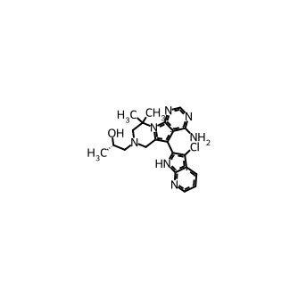 C[C@H](O)CN1Cc2c(-c3[nH]c4ncccc4c3Cl)c3c(N)ncnc3n2C(C)(C)C1